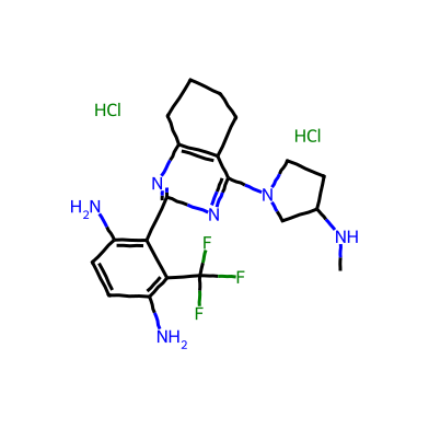 CNC1CCN(c2nc(-c3c(N)ccc(N)c3C(F)(F)F)nc3c2CCCC3)C1.Cl.Cl